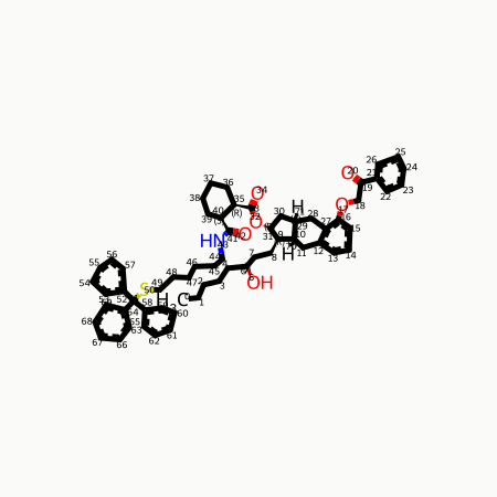 CCCCC[C@H](O)CC[C@@H]1[C@H]2Cc3cccc(OCC(=O)c4ccccc4)c3C[C@H]2C[C@H]1OC(=O)[C@@H]1CCCC[C@@H]1C(=O)NCCCCCCSC(c1ccccc1)(c1ccccc1)c1ccccc1